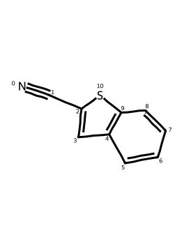 N#Cc1cc2ccc[c]c2s1